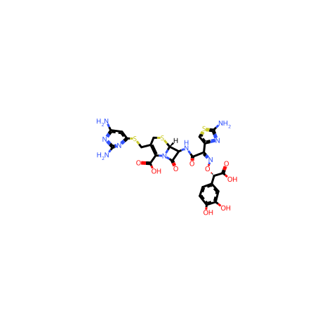 Nc1cc(SCC2=C(C(=O)O)N3C(=O)C(NC(=O)/C(=N\O[C@H](C(=O)O)c4ccc(O)c(O)c4)c4csc(N)n4)[C@H]3SC2)nc(N)n1